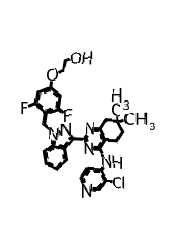 CC1(C)CCc2c(nc(-c3nn(Cc4c(F)cc(OCCO)cc4F)c4ccccc34)nc2Nc2ccncc2Cl)C1